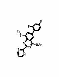 CCOc1cc(-c2ccc(F)cc2F)cc2c(NC)nc(-c3ncccn3)nc12